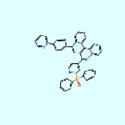 O=P(c1ccccc1)(c1ccccc1)c1cccc(-c2nc3ccccc3c3c2cc(-c2ccc(-c4ccccn4)cc2)c2ccccc23)c1